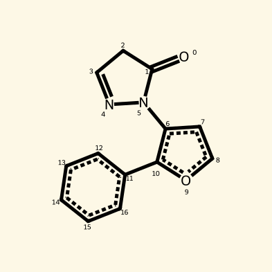 O=C1CC=NN1c1ccoc1-c1ccccc1